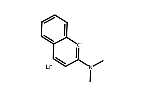 CN(C)c1[c-]c2ccccc2cc1.[Li+]